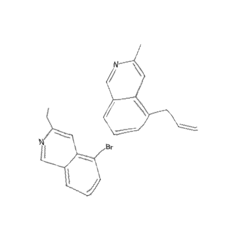 C=CCc1cccc2cnc(C)cc12.Cc1cc2c(Br)cccc2cn1